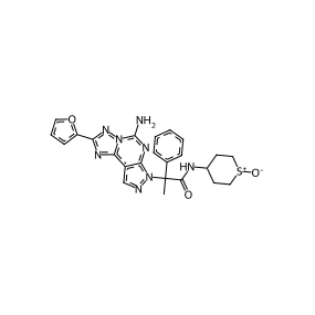 CC(C(=O)NC1CC[S+]([O-])CC1)(c1ccccc1)n1ncc2c1nc(N)n1nc(-c3ccco3)nc21